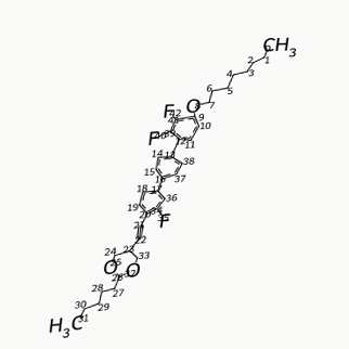 CCCCCCCCOc1ccc(-c2ccc(-c3ccc(C#CC4COC(CCCCC)OC4)c(F)c3)cc2)c(F)c1F